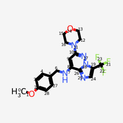 COc1ccc(CNc2cc(N3CCOCC3)nn3c(C(F)(F)F)cnc23)cc1